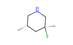 C[C@@H]1CNC[C@@](C)(F)C1